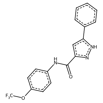 O=C(Nc1ccc(OC(F)(F)F)cc1)c1cc(-c2ccccc2)[nH]n1